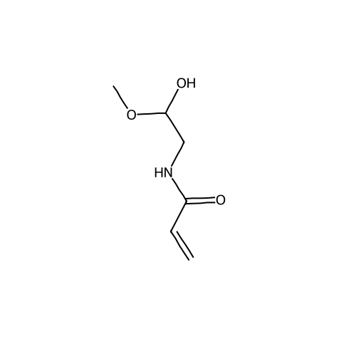 C=CC(=O)NCC(O)OC